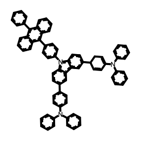 C1=CC(c2ccc3c(c2)c2cc(-c4ccc(N(c5ccccc5)c5ccccc5)cc4)ccc2n3-c2ccc(-c3c4ccccc4c(-c4ccccc4)c4ccccc34)cc2)CC=C1N(c1ccccc1)c1ccccc1